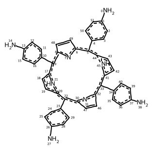 Nc1ccc(-c2c3nc(c(-c4ccc(N)cc4)c4ccc([nH]4)c(-c4ccc(N)cc4)c4nc(c(-c5ccc(N)cc5)c5ccc2[nH]5)C=C4)C=C3)cc1